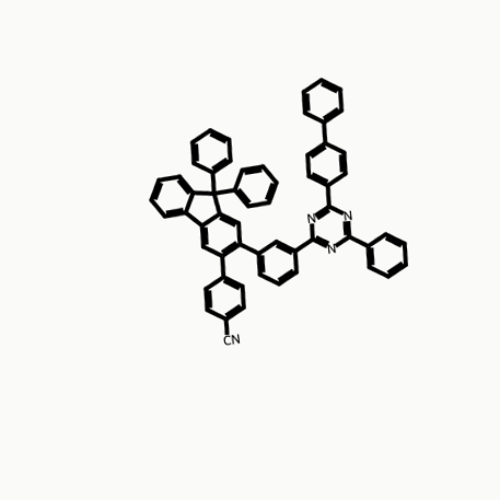 N#Cc1ccc(-c2cc3c(cc2-c2cccc(-c4nc(-c5ccccc5)nc(-c5ccc(-c6ccccc6)cc5)n4)c2)C(c2ccccc2)(c2ccccc2)c2ccccc2-3)cc1